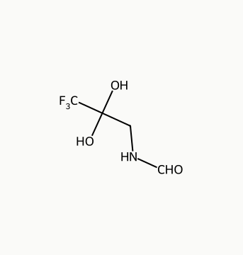 O=CNCC(O)(O)C(F)(F)F